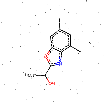 Cc1cc(C)c2nc(C(O)C(=O)O)oc2c1